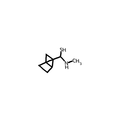 CNC(S)C12CC13CCC32